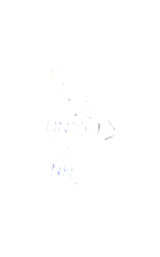 N[C@H]1CC[C@@H](NC(=O)C23CC4C[C@@](CCF)(C2)C[C@](c2ccccc2)(C4)C3)CC1